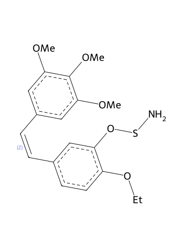 CCOc1ccc(/C=C\c2cc(OC)c(OC)c(OC)c2)cc1OSN